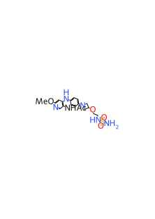 COc1cc(Nc2ccc(N3CC(OCCNS(N)(=O)=O)C3)cc2)c(NC(C)=O)cn1